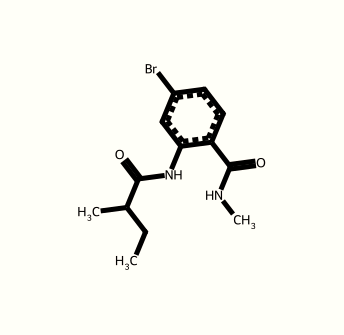 CCC(C)C(=O)Nc1cc(Br)ccc1C(=O)NC